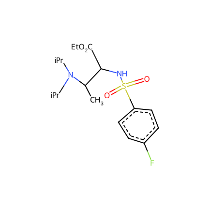 CCOC(=O)C(NS(=O)(=O)c1ccc(F)cc1)C(C)N(C(C)C)C(C)C